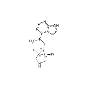 CC(C)[C@@]12CNC[C@H]1[C@@H]2CN(C)c1ncnc2[nH]ccc12